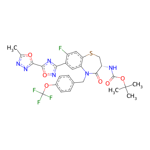 Cc1nnc(-c2nc(-c3cc4c(cc3F)SC[C@H](NC(=O)OC(C)(C)C)C(=O)N4Cc3ccc(OC(F)(F)F)cc3)no2)o1